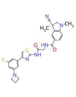 CN1C[C@](C)(C#N)c2cc(C(=O)NCC(=O)Nc3nc(-c4cc(F)cc(N5CCC5)c4)cs3)ccc21